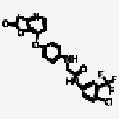 O=C(CNc1ccc(Oc2ccnc3c2OC(=O)C3)cc1)Nc1ccc(Cl)c(C(F)(F)F)c1